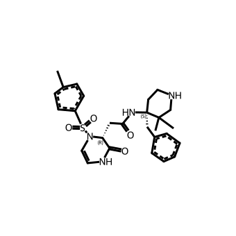 Cc1ccc(S(=O)(=O)N2C=CNC(=O)[C@H]2CC(=O)N[C@@]2(Cc3ccccc3)CCNCC2(C)C)cc1